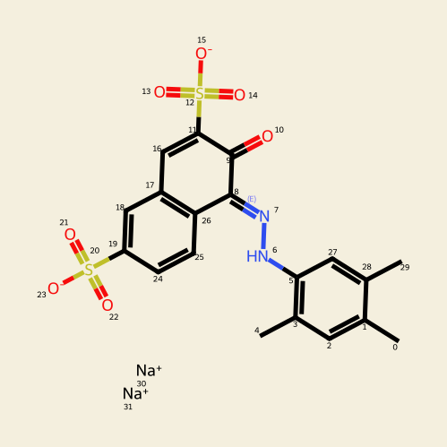 Cc1cc(C)c(N/N=C2/C(=O)C(S(=O)(=O)[O-])=Cc3cc(S(=O)(=O)[O-])ccc32)cc1C.[Na+].[Na+]